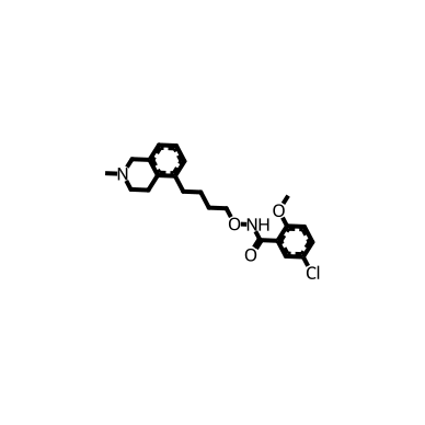 COc1ccc(Cl)cc1C(=O)NOCCCCc1cccc2c1CCN(C)C2